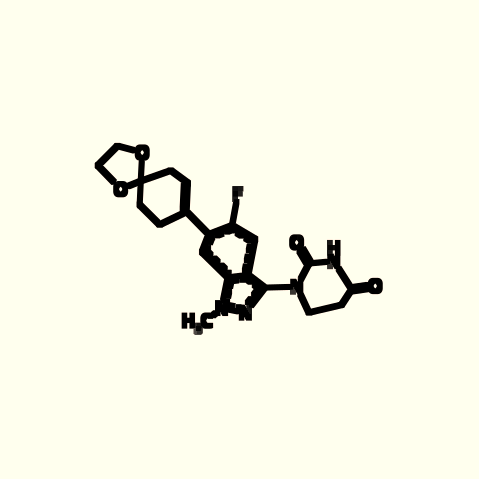 Cn1nc(N2CCC(=O)NC2=O)c2cc(F)c(C3=CCC4(CC3)OCCO4)cc21